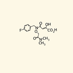 CN(C)C(=O)CON(Cc1ccc(F)cc1)C(=O)C=C(O)C(=O)O